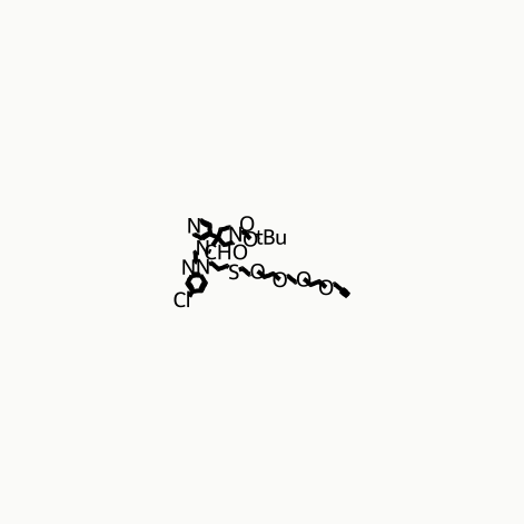 C#CCOCCOCCOCCOCCSCCCn1c(CN(C=O)c2cnccc2C2(C)CCN(C(=O)OC(C)(C)C)CC2)nc2cc(Cl)ccc21